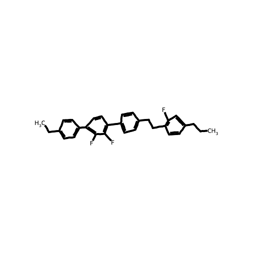 CCCc1ccc(CCc2ccc(-c3ccc(-c4ccc(CC)cc4)c(F)c3F)cc2)c(F)c1